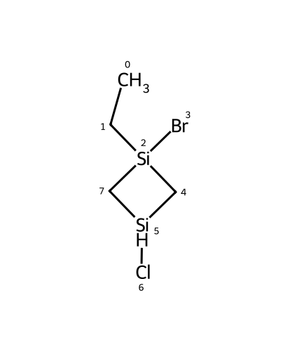 CC[Si]1(Br)C[SiH](Cl)C1